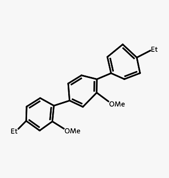 CCc1ccc(-c2ccc(-c3ccc(CC)cc3OC)cc2OC)cc1